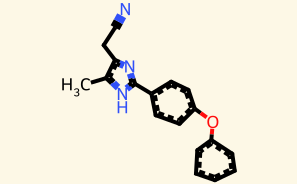 Cc1[nH]c(-c2ccc(Oc3ccccc3)cc2)nc1CC#N